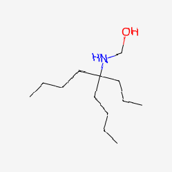 CCCCC(CCC)(CCCC)NCO